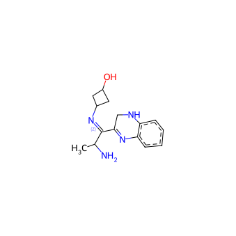 CC(N)/C(=N/C1CC(O)C1)C1=Nc2ccccc2NC1